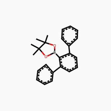 CC1(C)OB(c2c(-c3ccccc3)cccc2-c2ccccc2)OC1(C)C